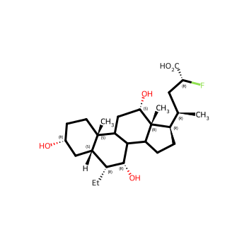 CC[C@H]1[C@@H](O)C2C3CC[C@H]([C@H](C)C[C@@H](F)C(=O)O)[C@@]3(C)[C@@H](O)CC2[C@@]2(C)CC[C@@H](O)C[C@@H]12